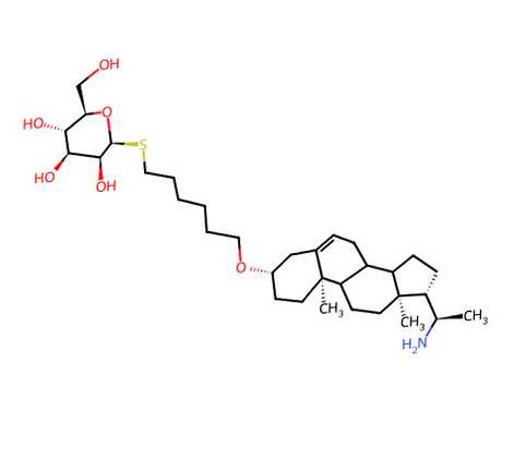 C[C@@H](N)[C@H]1CCC2C3CC=C4C[C@@H](OCCCCCCS[C@@H]5O[C@H](CO)[C@@H](O)[C@H](O)[C@@H]5O)CC[C@]4(C)C3CC[C@@]21C